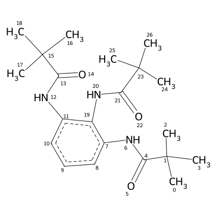 CC(C)(C)C(=O)Nc1cccc(NC(=O)C(C)(C)C)c1NC(=O)C(C)(C)C